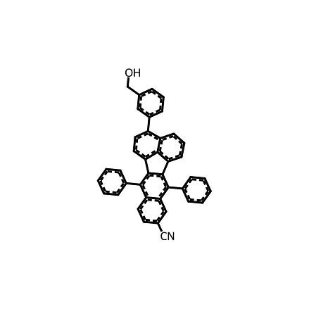 N#Cc1ccc2c(-c3ccccc3)c3c(c(-c4ccccc4)c2c1)-c1cccc2c(-c4cccc(CO)c4)ccc-3c12